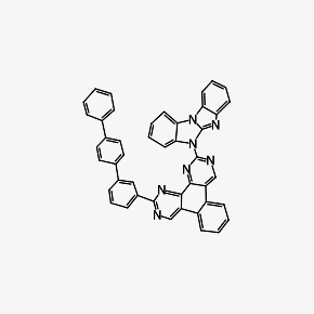 c1ccc(-c2ccc(-c3cccc(-c4ncc5c6ccccc6c6cnc(-n7c8ccccc8n8c9ccccc9nc78)nc6c5n4)c3)cc2)cc1